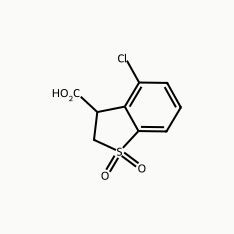 O=C(O)C1CS(=O)(=O)c2cccc(Cl)c21